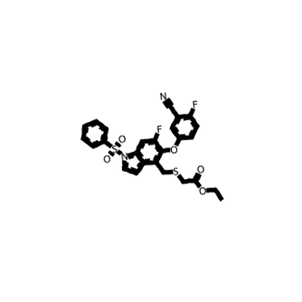 CCOC(=O)CSCc1c(Oc2ccc(F)c(C#N)c2)c(F)cc2c1ccn2S(=O)(=O)c1ccccc1